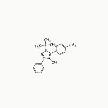 Cc1ccc(-c2c(O)c(-c3ccccc3)nn2C(C)(C)C)cc1